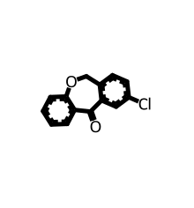 O=C1c2cc(Cl)ccc2COc2ccccc21